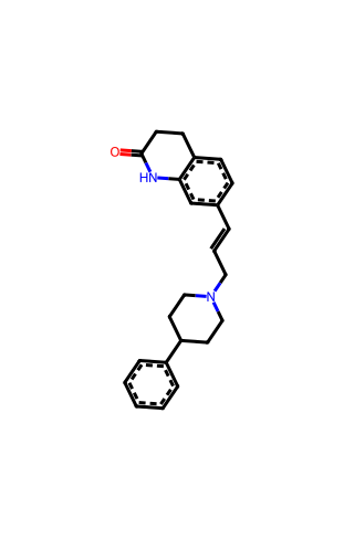 O=C1CCc2ccc(C=CCN3CCC(c4ccccc4)CC3)cc2N1